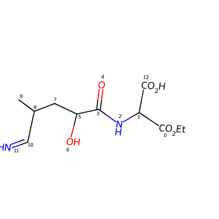 CCOC(=O)C(NC(=O)C(O)CC(C)C=N)C(=O)O